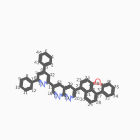 c1ccc(-c2cc(-c3ccccc3)nc(-c3cnc4ncc(-c5ccc6c7c(cccc57)-c5ccccc5O6)cc4c3)c2)cc1